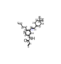 C=CC(=O)Nc1cnc(CCCC)c(/C=C/C2CCC(F)(F)CC2)c1